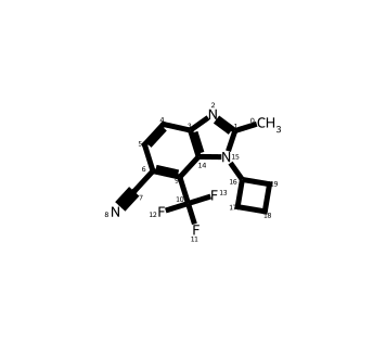 Cc1nc2ccc(C#N)c(C(F)(F)F)c2n1C1CCC1